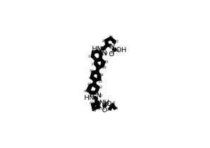 CC(C)(C)OC(=O)NC1(c2nc3cc(-c4ccc(-c5ccc6c(c5)CCc5[nH]c(C7CCCN7C(=O)O)nc5-6)cc4)ccc3[nH]2)CCC1